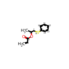 C=CC(=O)OC(C)CSc1ccccc1